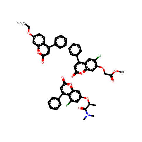 CC(C)(C)OC(=O)COc1cc2oc(=O)cc(-c3ccccc3)c2cc1Cl.CC(Oc1cc(F)c2c(-c3ccccc3)cc(=O)oc2c1)C(=O)N(C)C.CCOC(=O)COc1ccc2c(-c3ccccc3)cc(=O)oc2c1